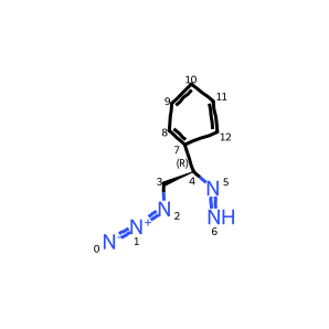 [N-]=[N+]=NC[C@H](N=N)c1ccccc1